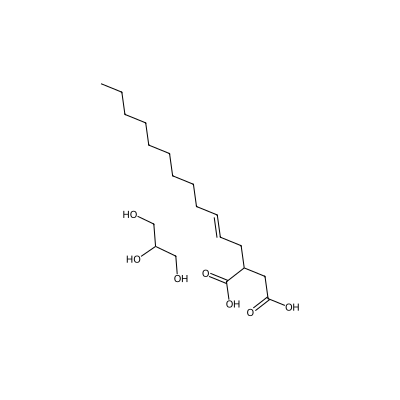 CCCCCCCCCC=CCC(CC(=O)O)C(=O)O.OCC(O)CO